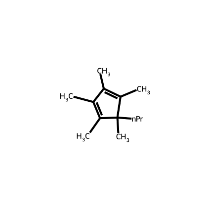 CCCC1(C)C(C)=C(C)C(C)=C1C